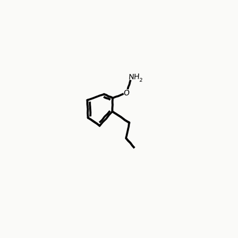 CCCc1ccccc1ON